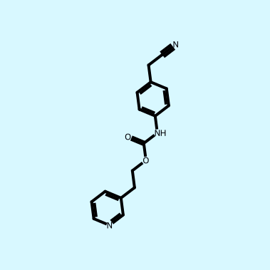 N#CCc1ccc(NC(=O)OCCc2cccnc2)cc1